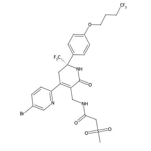 CS(=O)(=O)CC(=O)NCC1=C(c2ccc(Br)cn2)C[C@](c2ccc(OCCCC(F)(F)F)cc2)(C(F)(F)F)NC1=O